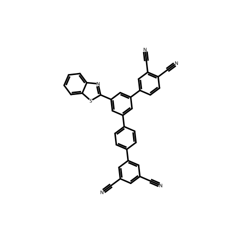 N#Cc1cc(C#N)cc(-c2ccc(-c3cc(-c4ccc(C#N)c(C#N)c4)cc(-c4nc5ccccc5s4)c3)cc2)c1